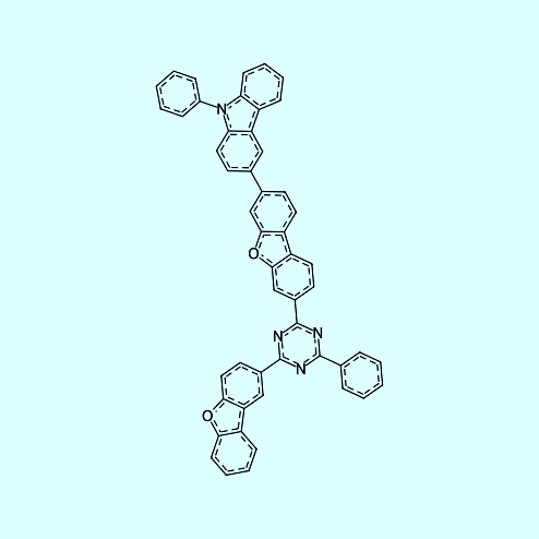 c1ccc(-c2nc(-c3ccc4c(c3)oc3cc(-c5ccc6c(c5)c5ccccc5n6-c5ccccc5)ccc34)nc(-c3ccc4oc5ccccc5c4c3)n2)cc1